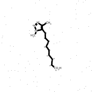 Cc1nnn(C)c1CCCCCCCCC(=O)O